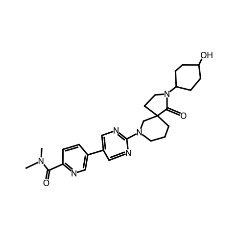 CN(C)C(=O)c1ccc(-c2cnc(N3CCCC4(CCN(C5CCC(O)CC5)C4=O)C3)nc2)cn1